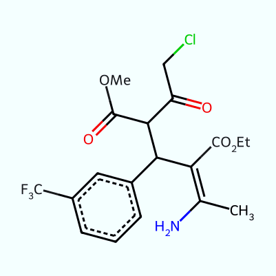 CCOC(=O)C(=C(C)N)C(c1cccc(C(F)(F)F)c1)C(C(=O)CCl)C(=O)OC